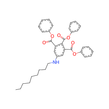 CCCCCCCCCNc1cc(C(=O)Oc2ccccc2)c(C(=O)Oc2ccccc2)c(C(=O)Oc2ccccc2)c1